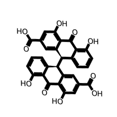 O=C(O)c1cc(O)c2c(c1)[C@H]([C@@H]1c3cccc(O)c3C(=O)c3c(O)cc(C(=O)O)cc31)c1cccc(O)c1C2=O